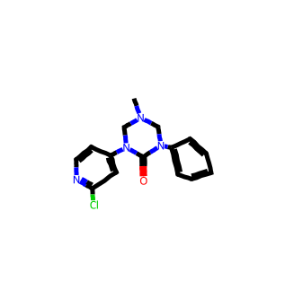 CN1CN(c2ccccc2)C(=O)N(c2ccnc(Cl)c2)C1